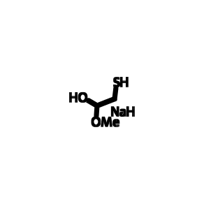 COC(O)CS.[NaH]